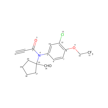 C#CC(=O)N(c1ccc(OCC(F)(F)F)c(Cl)c1)C1(C=O)CCCC1